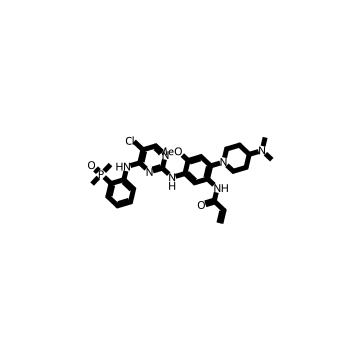 C=CC(=O)Nc1cc(Nc2ncc(Cl)c(Nc3ccccc3P(C)(C)=O)n2)c(OC)cc1N1CCC(N(C)C)CC1